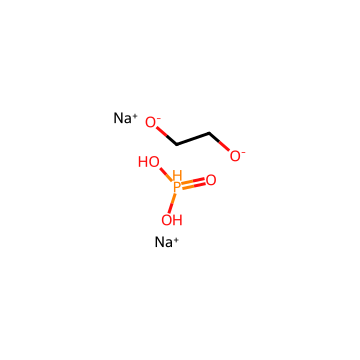 O=[PH](O)O.[Na+].[Na+].[O-]CC[O-]